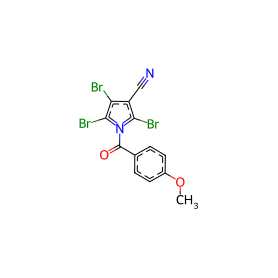 COc1ccc(C(=O)n2c(Br)c(Br)c(C#N)c2Br)cc1